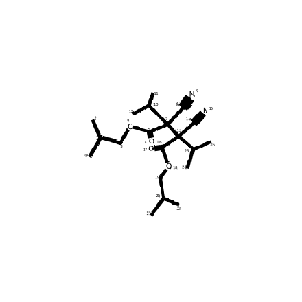 CC(C)COC(=O)C(C#N)(C(C)C)C(C#N)(C(=O)OCC(C)C)C(C)C